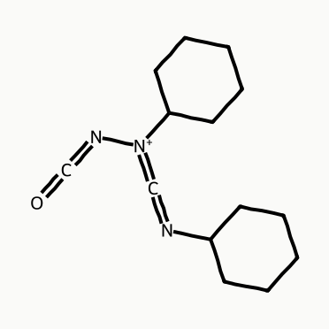 O=C=N[N+](=C=NC1CCCCC1)C1CCCCC1